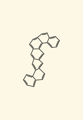 c1ccc2c(c1)ccc1cc3cc4c(ccc5ccc6ccccc6c54)cc3cc12